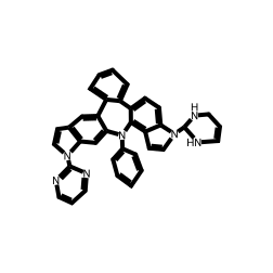 C1=CNC(n2ccc3c4c(ccc32)-c2ccccc2-c2cc3ccn(-c5ncccn5)c3cc2N4c2ccccc2)NC1